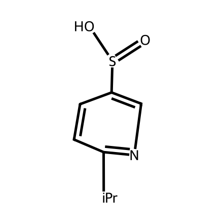 CC(C)c1ccc(S(=O)O)cn1